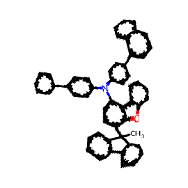 CC1(c2ccc(N(c3ccc(-c4ccccc4)cc3)c3ccc(-c4cccc5ccccc45)cc3)c3c2oc2ccccc23)c2ccccc2-c2ccccc21